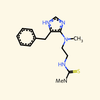 CNC(=S)NCCN(C)c1nc[nH]c1Cc1ccccc1